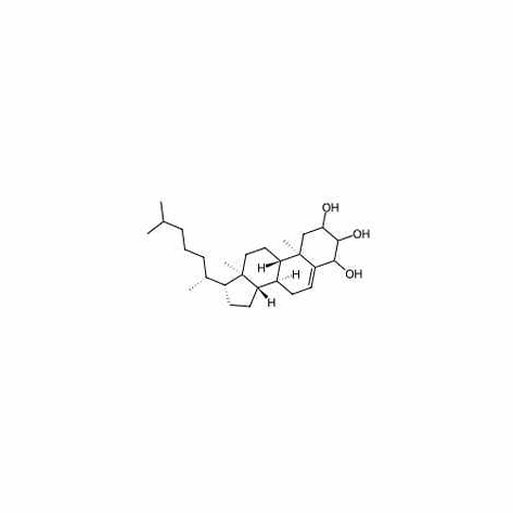 CC(C)CCC[C@@H](C)[C@H]1CC[C@H]2[C@@H]3CC=C4C(O)C(O)C(O)C[C@]4(C)[C@H]3CC[C@]12C